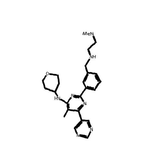 CNCCNCc1cccc(-c2nc(NC3CCOCC3)c(C)c(-c3cncnc3)n2)c1